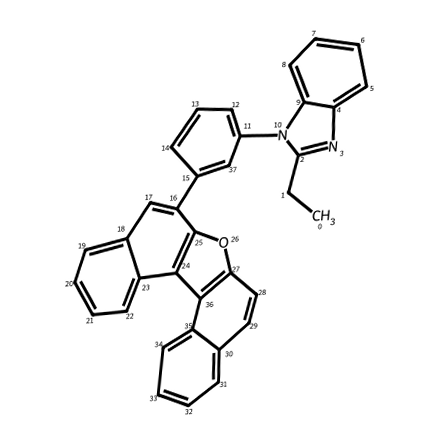 CCc1nc2ccccc2n1-c1cccc(-c2cc3ccccc3c3c2oc2ccc4ccccc4c23)c1